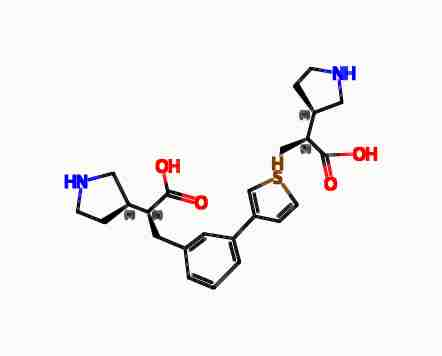 O=C(O)[C@@H](Cc1cccc(C2=C[SH](C[C@H](C(=O)O)[C@H]3CCNC3)C=C2)c1)[C@H]1CCNC1